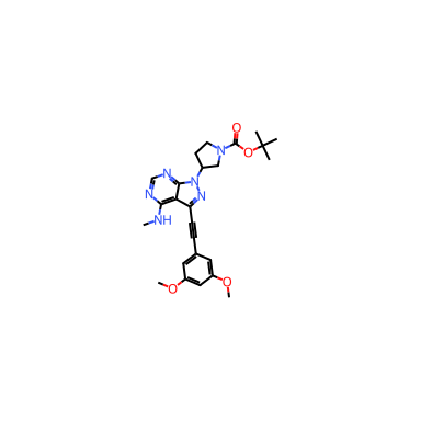 CNc1ncnc2c1c(C#Cc1cc(OC)cc(OC)c1)nn2C1CCN(C(=O)OC(C)(C)C)C1